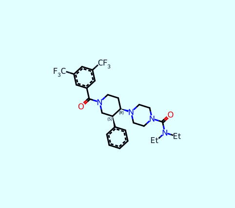 CCN(CC)C(=O)N1CCN([C@@H]2CCN(C(=O)c3cc(C(F)(F)F)cc(C(F)(F)F)c3)C[C@@H]2c2ccccc2)CC1